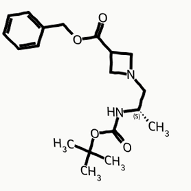 C[C@@H](CN1CC(C(=O)OCc2ccccc2)C1)NC(=O)OC(C)(C)C